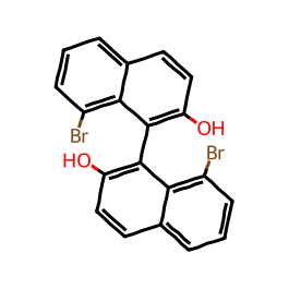 Oc1ccc2cccc(Br)c2c1-c1c(O)ccc2cccc(Br)c12